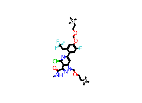 CNC(=O)c1nn(COCC[Si](C)(C)C)c2cc(-c3cc(F)c(OCOCC[Si](C)(C)C)cc3CC(F)(F)F)nc(Cl)c12